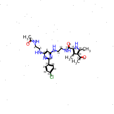 CC(=O)NCCNc1cc(NCCNC(=O)c2[nH]c(C)c(C(C)=O)c2C)nc(-c2ccc(Cl)cc2)n1